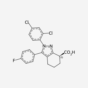 O=C(O)[C@H]1CCCc2c1nn(-c1ccc(Cl)cc1Cl)c2-c1ccc(F)cc1